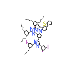 CCCCc1cc(I)cc(-c2nc(-c3cc(I)cc(I)c3)cc(-c3ccc(-n4c5ccccc5c5c6sc7ccccc7c6ccc54)c(-c4nc(-c5cc(CCCC)cc(CCCC)c5)nc(-c5cc(CCCC)cc(CCCC)c5)n4)c3)n2)c1